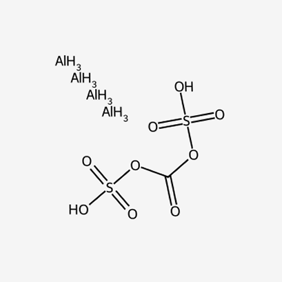 O=C(OS(=O)(=O)O)OS(=O)(=O)O.[AlH3].[AlH3].[AlH3].[AlH3]